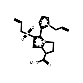 C=CCn1cccc1-c1c(S(=O)(=O)CC=C)cc2n1CCC2C(=O)OC